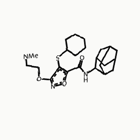 CNCCOc1noc(C(=O)NC2C3CC4CC(C3)CC2C4)c1SC1CCCCC1